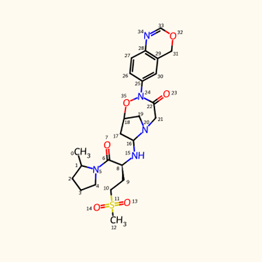 CC1CCCN1C(=O)[C@H](CCS(C)(=O)=O)NC1CC2CN1CC(=O)N(c1ccc3c(c1)COC=N3)O2